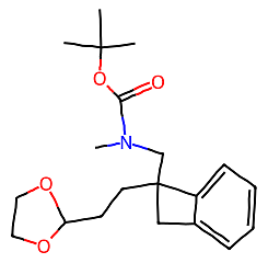 CN(CC1(CCC2OCCO2)Cc2ccccc21)C(=O)OC(C)(C)C